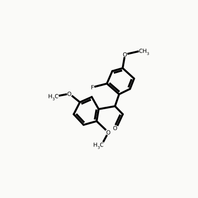 COc1ccc(C(C=O)c2cc(OC)ccc2OC)c(F)c1